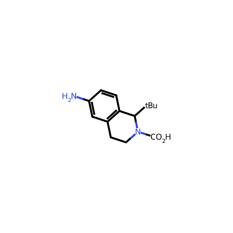 CC(C)(C)C1c2ccc(N)cc2CCN1C(=O)O